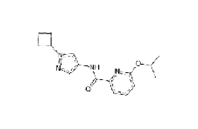 CC(C)Oc1cccc(C(=O)Nc2cnn(C3CCC3)c2)n1